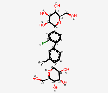 Cc1cc(-c2ccc([C@H]3O[C@H](CO)[C@@H](O)[C@H](O)[C@@H]3O)cc2F)ccc1[C@H]1O[C@H](CO)[C@@H](O)[C@H](O)[C@@H]1O